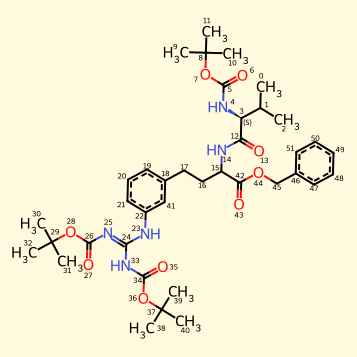 CC(C)[C@H](NC(=O)OC(C)(C)C)C(=O)NC(CCc1cccc(NC(=NC(=O)OC(C)(C)C)NC(=O)OC(C)(C)C)c1)C(=O)OCc1ccccc1